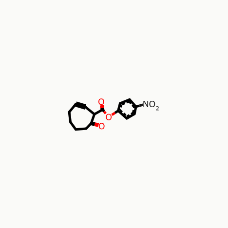 O=C1CCCCC#CC1C(=O)Oc1ccc([N+](=O)[O-])cc1